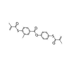 C=C(C)C(=O)Sc1ccc(OC(=O)c2ccc(SC(=O)C(=C)C)c(C)c2)cc1